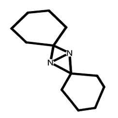 C1CCC2(CC1)N1N2C12CCCCC2